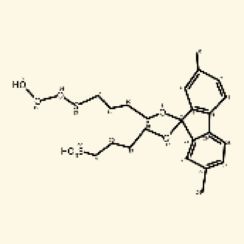 Cc1ccc2c(c1)C(OCCCCSOOO)(OCCCCS(=O)(=O)O)c1cc(C)ccc1-2